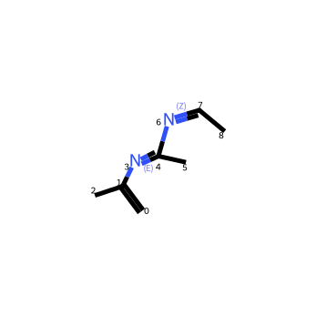 C=C(C)/N=C(C)/N=C\C